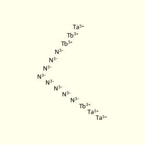 [N-3].[N-3].[N-3].[N-3].[N-3].[N-3].[N-3].[N-3].[Ta+5].[Ta+5].[Ta+5].[Tb+3].[Tb+3].[Tb+3]